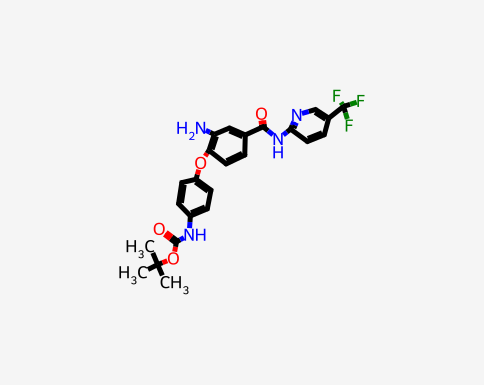 CC(C)(C)OC(=O)Nc1ccc(Oc2ccc(C(=O)Nc3ccc(C(F)(F)F)cn3)cc2N)cc1